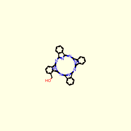 OCc1cccc2c3nc4nc(nc5[nH]c(nc6nc(nc([nH]3)c12)-c1ccccc1-6)c1ccccc51)-c1ccccc1-4